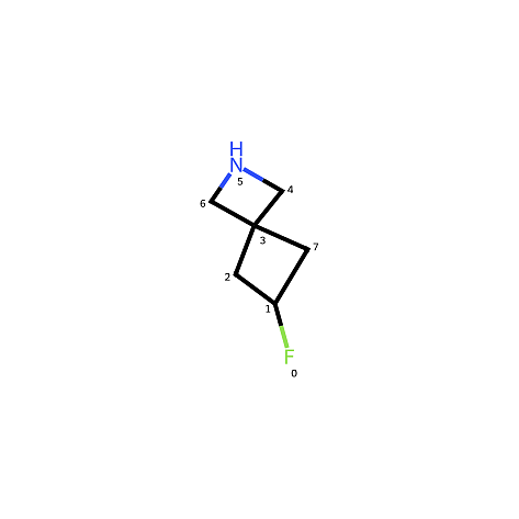 FC1CC2(CNC2)C1